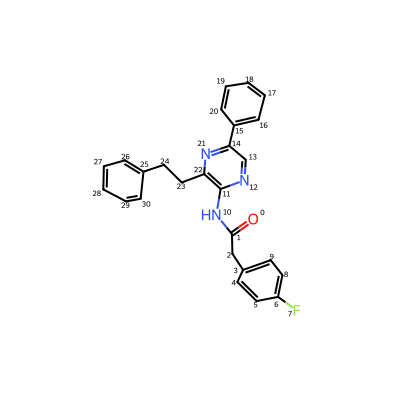 O=C(Cc1ccc(F)cc1)Nc1ncc(-c2ccccc2)nc1CCc1ccccc1